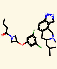 CCCC(=O)N1CC(Oc2cc(F)c([C@@H]3c4ccc5[nH]ncc5c4CN(C)[C@H]3CC(C)C)c(F)c2)C1